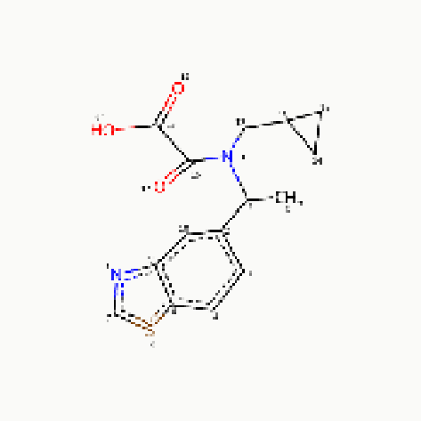 CC(c1ccc2scnc2c1)N(CC1CC1)C(=O)C(=O)O